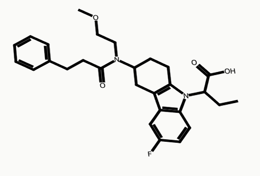 CCC(C(=O)O)n1c2c(c3cc(F)ccc31)CC(N(CCOC)C(=O)CCc1ccccc1)CC2